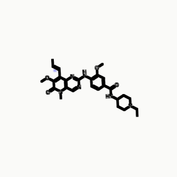 C/C=C/c1c(OC)c(=O)n(C)c2cnc(Nc3ccc(C(=O)NC4CCN(CC)CC4)cc3OC)nc12